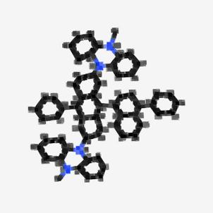 CN1c2ccccc2N(c2ccc3c(-c4ccc(-c5ccccc5)c5ccccc45)c4cc(N5c6ccccc6N(C)c6ccccc65)ccc4c(-c4ccccc4)c3c2)c2ccccc21